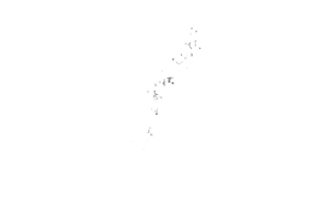 Cc1c(NC(=O)c2nc3c(n2C)CCNC3)cccc1-c1cccc(NC(=O)c2nc3c(n2C)CCN(CCC24CCC(C(=O)O)(CC2)C4)C3)c1Cl